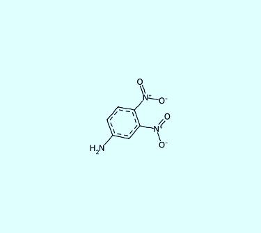 Nc1ccc([N+](=O)[O-])c([N+](=O)[O-])c1